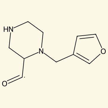 O=[C]C1CNCCN1Cc1ccoc1